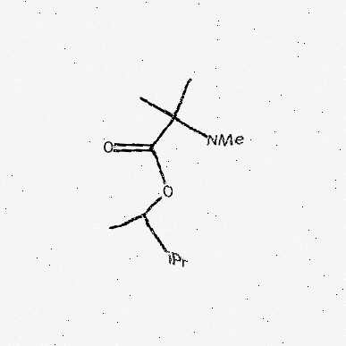 CNC(C)(C)C(=O)OC(C)C(C)C